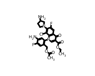 CCOC(=O)c1cn(-c2cc(N)c(F)cc2COC(C)=O)c2c(Cl)c(N3CCC(N)C3)c(F)cc2c1=O